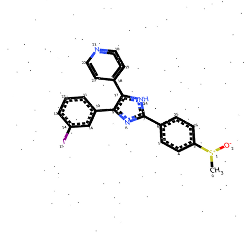 C[S+]([O-])c1ccc(-c2nc(-c3cccc(I)c3)c(C3=C=C=NC=C3)[nH]2)cc1